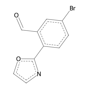 O=Cc1cc(Br)ccc1-c1ncco1